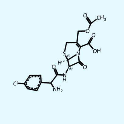 CC(=O)OCC1=C(C(=O)O)N2C(=O)[C@@H](NC(=O)C(N)c3ccc(Cl)cc3)[C@H]2SC1